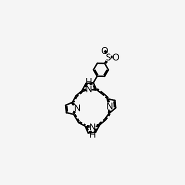 O=S(=O)=C1C=CC(c2cc3cc4nc(cc5ccc(cc6nc(cc2[nH]3)C=C6)[nH]5)C=C4)=CC1